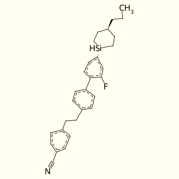 CCC[C@H]1CC[Si@H](c2ccc(-c3ccc(CCc4ccc(C#N)cc4)cc3)c(F)c2)CC1